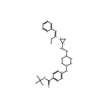 CC/C(=C\c1ccccc1)[C@@H]1CC1NCC1CCN(Cc2ccc(C(=O)OC(C)(C)C)cc2)CC1